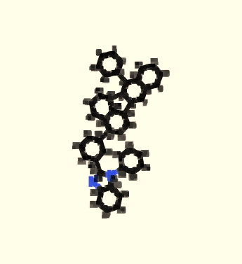 c1ccc(-c2c3c(cc4ccccc24)-c2ccc(-c4cccc(-c5nc6ccccc6n5-c5ccccc5)c4)c4cccc-3c24)cc1